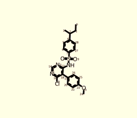 CCC(C)c1ccc(S(=O)(=O)Nc2ncnc(Cl)c2-c2ccc(OC)cc2)cc1